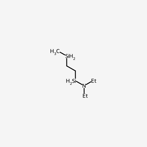 CCN(CC)[SiH2]CC[SiH2]C